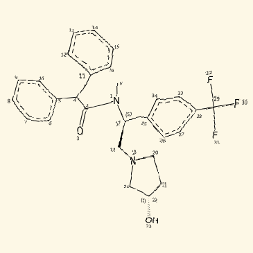 CN(C(=O)C(c1ccccc1)c1ccccc1)[C@H](CN1CC[C@H](O)C1)c1ccc(C(F)(F)F)cc1